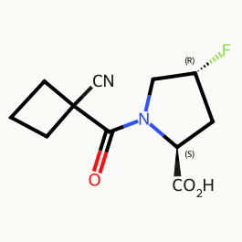 N#CC1(C(=O)N2C[C@H](F)C[C@H]2C(=O)O)CCC1